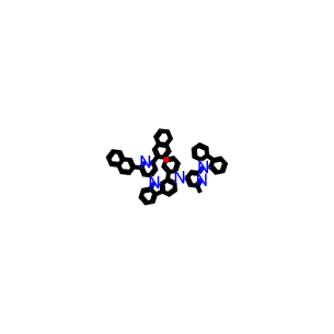 Cc1cc(-n2c3ccccc3c3c2ccc2c4ccccc4n(-c4cc(-c5ccc6c(c5)C=CCC6)nc(-c5ccc6ccccc6c5)c4)c23)cc(N2c3ccccc3C3C=CC=CC32)n1